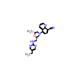 CCc1cnc(NC[C@@H]2CN(c3ccc(C#N)c4ncccc34)C[C@@H](C)O2)nc1